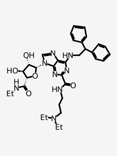 CCNC(=O)[C@H]1O[C@@H](n2cnc3c(NCC(c4ccccc4)c4ccccc4)nc(C(=O)NCCCN(CC)CC)nc32)[C@@H](O)[C@@H]1O